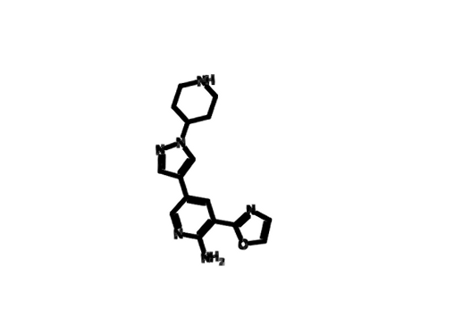 Nc1ncc(-c2cnn(C3CCNCC3)c2)cc1-c1ncco1